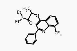 CCN(CC)C(=O)C(C)Oc1cc(-c2ccccc2)nc2c(C(F)(F)F)cccc12